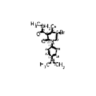 COC(=O)c1c(C)c(Br)cn(-c2ccc(N(C)C)cc2)c1=O